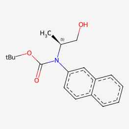 C[C@@H](CO)N(C(=O)OC(C)(C)C)c1ccc2ccccc2c1